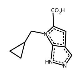 O=C(O)c1cc2cn[nH]c2n1CC1CC1